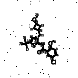 COc1ccc(Cl)cc1C(=O)N=c1sc(C(C)(C)C)cn1CC1CC(OC)C1